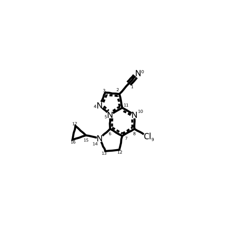 N#Cc1cnn2c3c(c(Cl)nc12)CCN3C1CC1